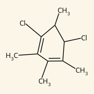 CC1=C(Cl)C(C)C(Cl)C(C)=C1C